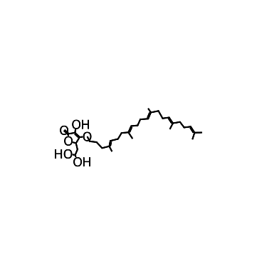 CC(C)=CCC/C(C)=C/CC/C(C)=C/CC/C=C(\C)CCC=C(C)CCCOC1=C(O)C(=O)OC1CC(O)O